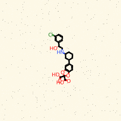 O=C(O)C1(C(=O)O)Oc2ccc(C3CCCC(NC[C@H](O)c4cccc(Cl)c4)C3)cc2O1